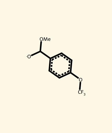 COC([O])c1ccc(OC(F)(F)F)cc1